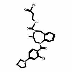 C[C@@H]1CN(C(=O)c2ccc(N3CCCC3)cc2Cl)c2ccccc2CN1C(=O)NCCC(=O)O